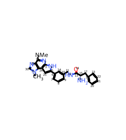 CNc1nc2[nH]c(-c3cccc(CNC(=O)[C@@H](N)Cc4ccccc4)c3)cc2c2c1ncn2C